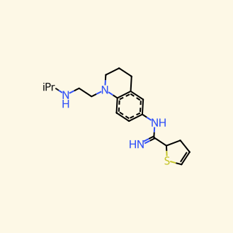 CC(C)NCCN1CCCc2cc(NC(=N)C3CC=CS3)ccc21